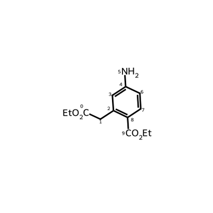 CCOC(=O)Cc1cc(N)ccc1C(=O)OCC